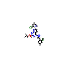 CC(C)COCc1nc(NCCc2ccccc2Cl)c2ccc(-c3ncccc3Cl)nc2n1